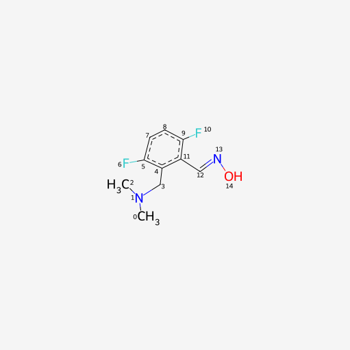 CN(C)Cc1c(F)ccc(F)c1/C=N/O